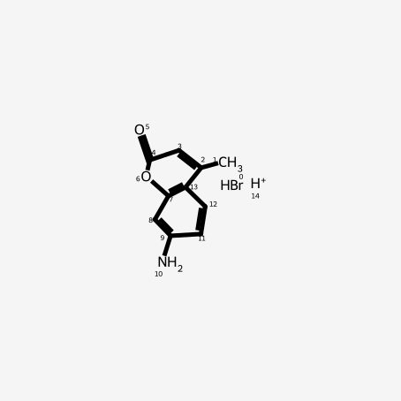 Br.Cc1cc(=O)oc2cc(N)ccc12.[H+]